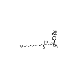 CCCCCCCCCCCC(=O)NCCC[N+](C)(C)Cc1ccc(S(=O)(=O)O)cc1